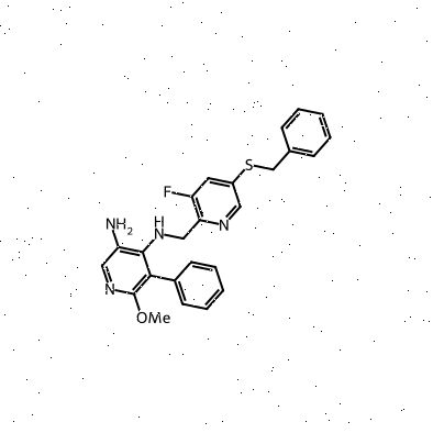 COc1ncc(N)c(NCc2ncc(SCc3ccccc3)cc2F)c1-c1ccccc1